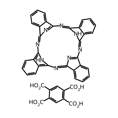 O=C(O)c1cc(C(=O)O)c(C(=O)O)cc1C(=O)O.c1ccc2c(c1)-c1nc-2nc2[nH]c(nc3nc(nc4[nH]c(n1)c1ccccc41)-c1ccccc1-3)c1ccccc21